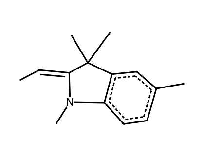 CC=C1N(C)c2ccc(C)cc2C1(C)C